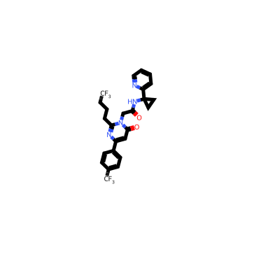 O=C(Cn1c(CCCC(F)(F)F)nc(-c2ccc(C(F)(F)F)cc2)cc1=O)NC1(c2ccccn2)CC1